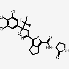 O=C(N[C@@H]1CCNC1=O)c1sc(C2=NOC(c3cc(Cl)c(Cl)c(Cl)c3)(C(F)(F)F)C2)c2c1CCC2